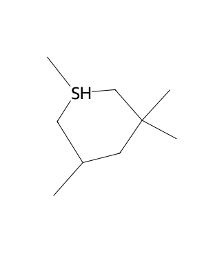 CC1C[SH](C)CC(C)(C)C1